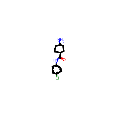 NC1CCC(C(=O)Nc2ccc(Cl)cc2)CC1